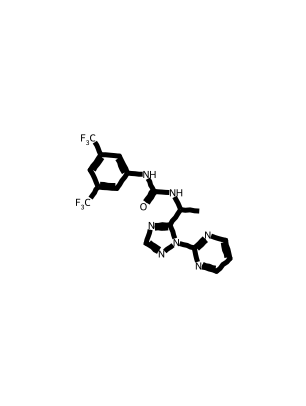 CC(NC(=O)Nc1cc(C(F)(F)F)cc(C(F)(F)F)c1)c1ncnn1-c1ncccn1